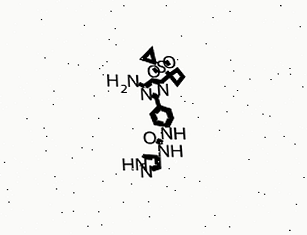 Nc1cc(C2(S(=O)(=O)C3CC3)CCC2)nc(-c2ccc(NC(=O)Nc3cn[nH]c3)cc2)n1